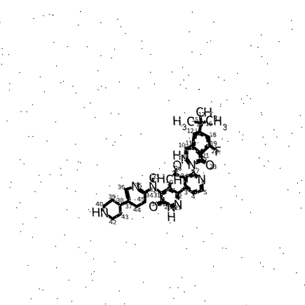 Cc1c(-c2ccnc(-n3ncc4cc(C(C)(C)C)cc(F)c4c3=O)c2CO)n[nH]c(=O)c1N(C)C1=NC=C(C2CCNCC2)CC1